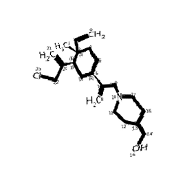 C=C[C@]1(C)CC[C@@H](C(=C)CN2CCC(CO)CC2)C[C@H]1C(=C)CCl